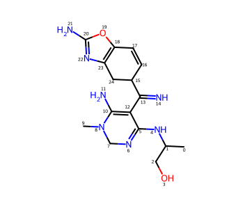 CC(CO)NC1=NCN(C)C(N)=C1C(=N)C1C=Cc2oc(N)nc2C1